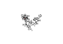 Cc1ncc(C[n+]2csc(CCO)c2C)c(N)n1.Nc1ncnc2[nH]cnc12.O=P(O)(O)OP(=O)(O)O.[Cl-].c1coc(CNc2[nH]cnc3ncnc2-3)c1